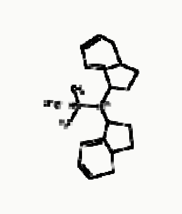 C[SiH](C)[Hf+2]([CH]1CCC2CC=CC=C21)[CH]1CCC2CC=CC=C21.[Cl-].[Cl-]